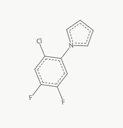 Fc1cc(Cl)c(-n2cccc2)cc1F